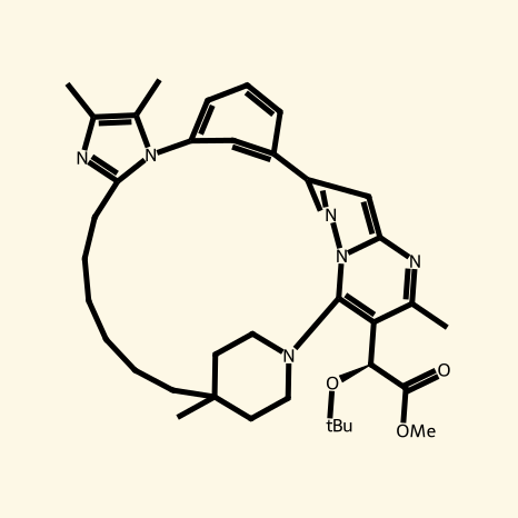 COC(=O)[C@@H](OC(C)(C)C)c1c(C)nc2cc3nn2c1N1CCC(C)(CCCCCCc2nc(C)c(C)n2-c2cccc-3c2)CC1